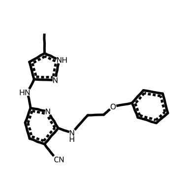 Cc1cc(Nc2ccc(C#N)c(NCCOc3ccccc3)n2)n[nH]1